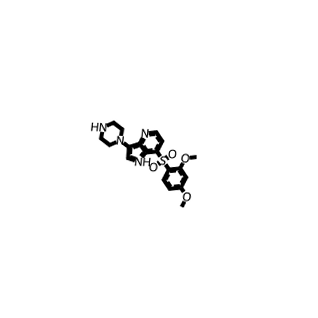 COc1ccc(S(=O)(=O)c2ccnc3c(N4CCNCC4)c[nH]c23)c(OC)c1